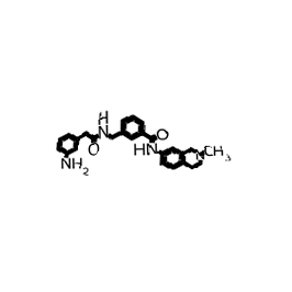 CN1CCc2ccc(NC(=O)c3cccc(CNC(=O)Cc4cccc(N)c4)c3)cc2C1